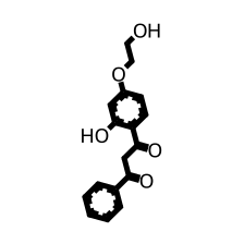 O=C(CC(=O)c1ccc(OCCO)cc1O)c1ccccc1